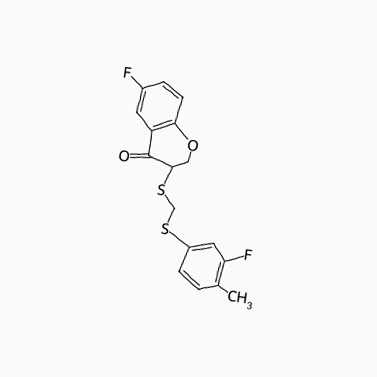 Cc1ccc(SCSC2COc3ccc(F)cc3C2=O)cc1F